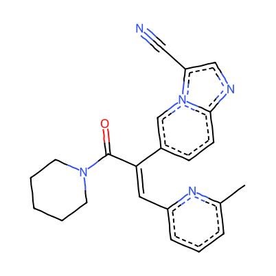 Cc1cccc(/C=C(/C(=O)N2CCCCC2)c2ccc3ncc(C#N)n3c2)n1